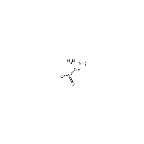 O=[N+]([O-])[Co-2].[NH4+].[NH4+]